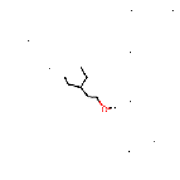 [CH2]OCCC(CC)CC